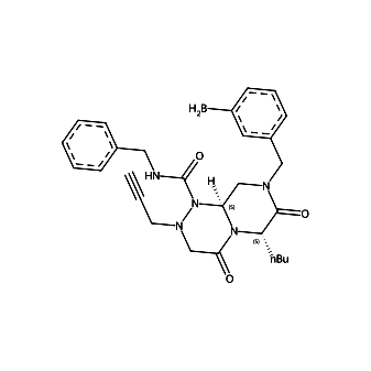 Bc1cccc(CN2C[C@H]3N(C(=O)CN(CC#C)N3C(=O)NCc3ccccc3)[C@@H](CCCC)C2=O)c1